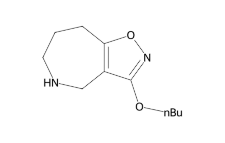 CCCCOc1noc2c1CNCCC2